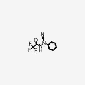 N#CN(NC(=O)C(F)(F)F)c1ccccc1